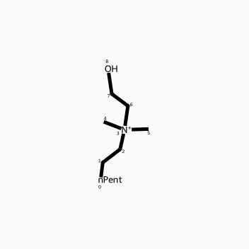 CCCCCCC[N+](C)(C)CCO